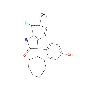 Cc1ccc2c(c1F)NC(=O)C2(c1ccc(O)cc1)C1CCCCCC1